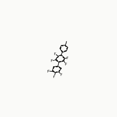 Cc1ccc(-c2c(F)c(F)c(-c3cc(F)c(F)c(F)c3)c(F)c2F)cc1